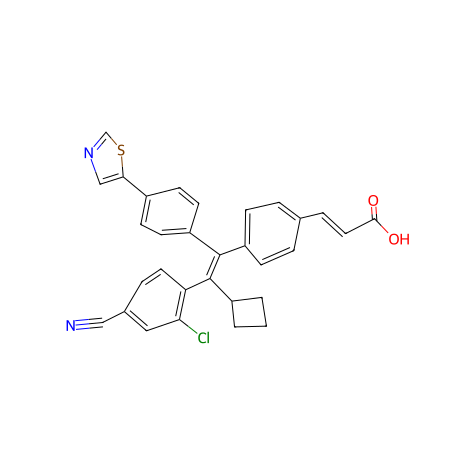 N#Cc1ccc(C(=C(c2ccc(C=CC(=O)O)cc2)c2ccc(-c3cncs3)cc2)C2CCC2)c(Cl)c1